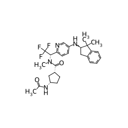 CC(=O)N[C@H]1CC[C@@H](C(=O)N(C)[C@@H](c2ccc(N[C@@H]3Cc4ccccc4C3(C)C)cn2)C(F)(F)F)C1